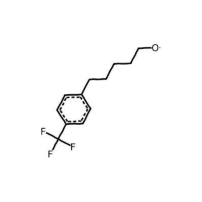 [O]CCCCCc1ccc(C(F)(F)F)cc1